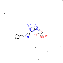 Nc1nc(-c2cnn(CCc3ccccc3)c2)nc2c1ncn2[C@@H]1OC(CO)[C@@H](O)C1O